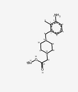 Cc1c(N)cccc1CN1CCN(CC(=O)OC(C)(C)C)CC1